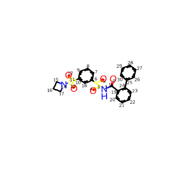 O=C(NS(=O)(=O)c1cccc(S(=O)(=O)N2CCC2)c1)c1ccccc1-c1ccccc1